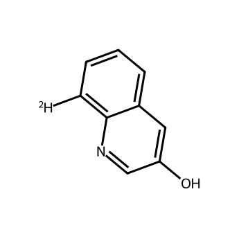 [2H]c1cccc2cc(O)cnc12